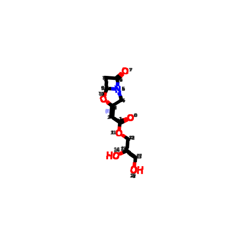 O=C(/C=C1\CN2C(=O)CC2O1)OCC(O)CO